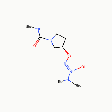 CCN(/[N+](O)=N/O[C@@H]1CCN(C(=O)NC(C)(C)C)C1)C(C)(C)C